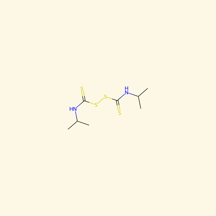 CC(C)NC(=S)SSC(=S)NC(C)C